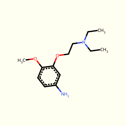 CCN(CC)CCOc1cc(N)ccc1OC